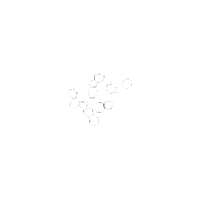 c1ccc(-c2nc(-c3ccccc3)nc(-c3cccc4oc5cc(-n6c7cc8ccccc8cc7c7ccc8ccccc8c76)c(-c6ccccc6)cc5c34)n2)cc1